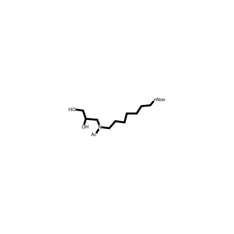 CCCCCCCCCCCCCCCCN(CC(O)CO)C(C)=O